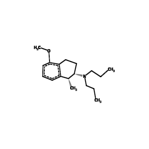 CCCN(CCC)[C@H]1CCc2c(OC)cccc2[C@H]1C